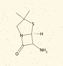 CC1(C)CN2C(=O)C(N)[C@@H]2S1